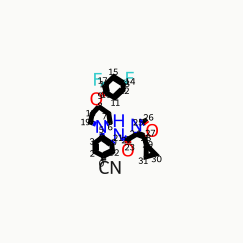 N#Cc1ccc(N2CCC(Oc3ccc(F)cc3F)CC2)c(NC(=O)c2ncoc2C2CC2)c1